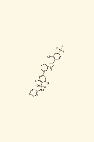 CN(C)[C@]1(CCc2ccc(C(F)(F)F)cc2Cl)CCCN(c2cc(F)c(S(=O)(=O)Nc3ccncn3)c(F)c2)C1